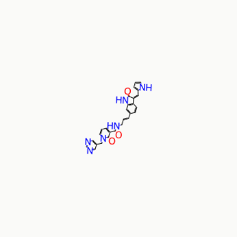 O=C1Nc2cc(C=CCNC(=O)c3cccn(Cc4cncnc4)c3=O)ccc2C1=Cc1ccc[nH]1